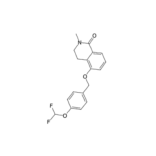 CN1CCc2c(OCc3ccc(OC(F)F)cc3)cccc2C1=O